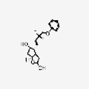 OC1CC2[C@H](C[C@@H](O)[C@@H]2/C=C/C(F)(F)COc2ccccc2)O1